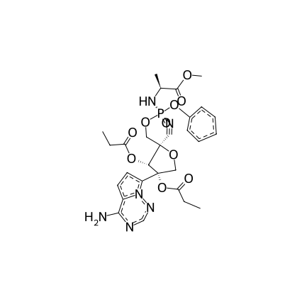 CCC(=O)O[C@@H]1[C@@](C#N)(CO[P@@](=O)(N[C@@H](C)C(=O)OC)Oc2ccccc2)OC[C@@]1(OC(=O)CC)c1ccc2c(N)ncnn12